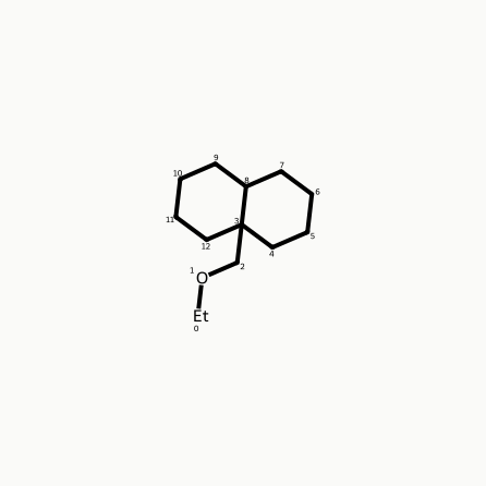 CCOCC12CCCCC1CCCC2